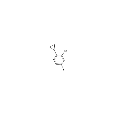 CCc1cc(F)ccc1C1CC1